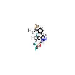 Cc1c(Br)ccc(-c2cnn(CCOC(F)F)c2C)c1F